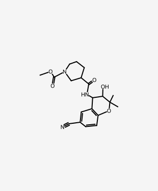 COC(=O)N1CCCC(C(=O)NC2c3cc(C#N)ccc3OC(C)(C)C2O)C1